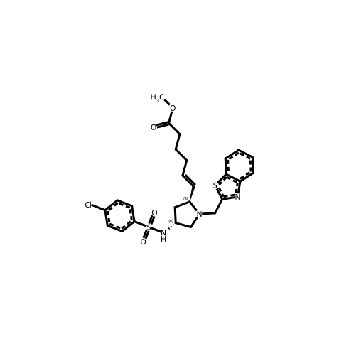 COC(=O)CCCC=C[C@@H]1C[C@@H](NS(=O)(=O)c2ccc(Cl)cc2)CN1Cc1nc2ccccc2s1